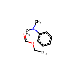 CCOC=O.CN(C)c1ccccc1